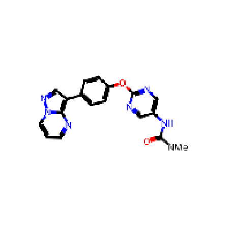 CNC(=O)Nc1cnc(Oc2ccc(-c3cnn4cccnc34)cc2)nc1